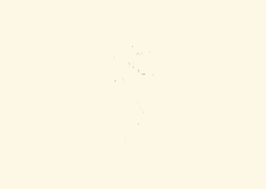 CC(C)[C@@H]1CCOC(=O)N1C(=O)CCC=CCCC(=O)O